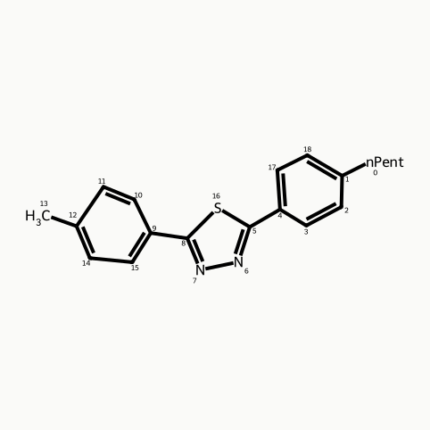 CCCCCc1ccc(-c2nnc(-c3ccc(C)cc3)s2)cc1